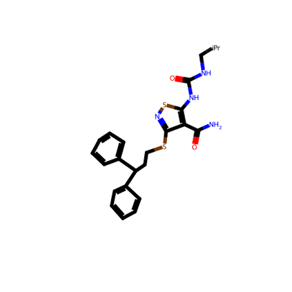 CC(C)CNC(=O)Nc1snc(SCCC(c2ccccc2)c2ccccc2)c1C(N)=O